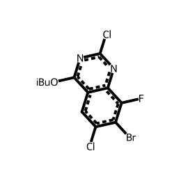 CC(C)COc1nc(Cl)nc2c(F)c(Br)c(Cl)cc12